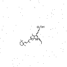 CCCCC/C=C(/C=CC=CC(=O)O)C(C(N)=O)=C(C)C=CC=C(C)C=CC1=C(C)CCCC1(C)C